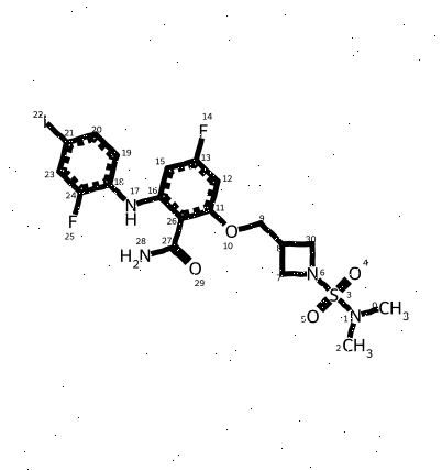 CN(C)S(=O)(=O)N1CC(COc2cc(F)cc(Nc3ccc(I)cc3F)c2C(N)=O)C1